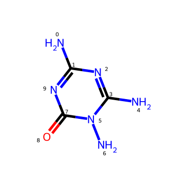 Nc1nc(N)n(N)c(=O)n1